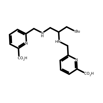 CC(C)(C)CC(CNCc1cccc(C(=O)O)n1)NCc1cccc(C(=O)O)n1